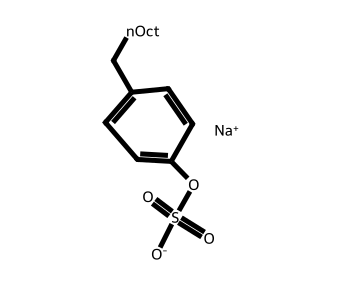 CCCCCCCCCc1ccc(OS(=O)(=O)[O-])cc1.[Na+]